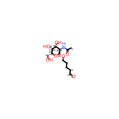 CC(=O)N[C@H]1[C@H](OCCCCC=O)O[C@H](CO)[C@H](O)[C@@H]1O